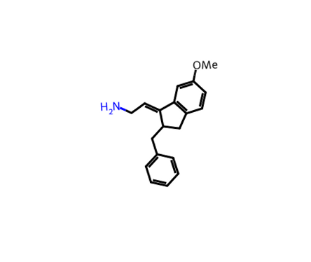 COc1ccc2c(c1)/C(=C/CN)C(Cc1ccccc1)C2